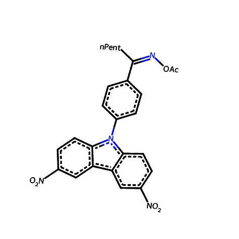 CCCCC/C(=N/OC(C)=O)c1ccc(-n2c3ccc([N+](=O)[O-])cc3c3cc([N+](=O)[O-])ccc32)cc1